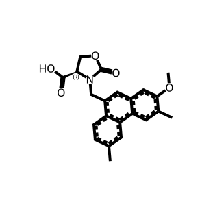 COc1cc2cc(CN3C(=O)OC[C@@H]3C(=O)O)c3ccc(C)cc3c2cc1C